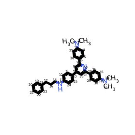 CN(C)c1ccc(-c2cc(-c3ccc(NCCCc4ccccc4)cc3)cc(-c3ccc(N(C)C)cc3)n2)cc1